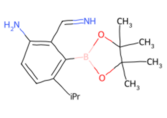 CC(C)c1ccc(N)c(C=N)c1B1OC(C)(C)C(C)(C)O1